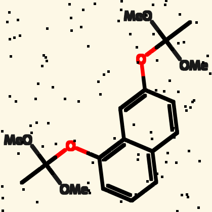 COC(C)(OC)Oc1ccc2cccc(OC(C)(OC)OC)c2c1